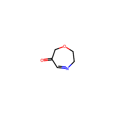 O=C1C=NCCOC1